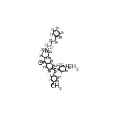 Cc1ccc([S+](c2ccc(C)cc2)c2ccc(C(=O)C3CCN(CCCCc4ccccc4)CC3)cc2)cc1